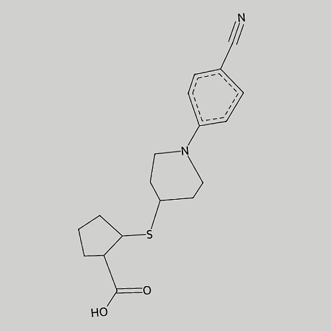 N#Cc1ccc(N2CCC(SC3CCCC3C(=O)O)CC2)cc1